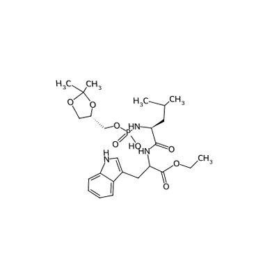 CCOC(=O)C(Cc1c[nH]c2ccccc12)NC(=O)[C@H](CC(C)C)NP(=O)(O)OC[C@@H]1COC(C)(C)O1